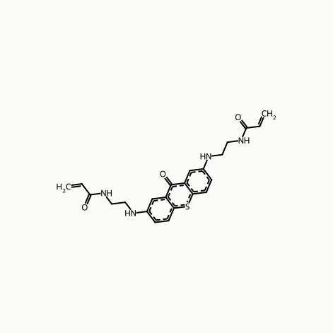 C=CC(=O)NCCNc1ccc2sc3ccc(NCCNC(=O)C=C)cc3c(=O)c2c1